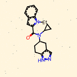 CCn1c(C(=O)N(C2CC2)C2CCc3[nH]ncc3C2)cc2ccccc21